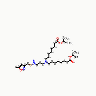 CCCCCCCCC(CC)OC(=O)CCCCCCCN(CCCCCCCC(=O)OC(CCCCCCCC)CCCCCCCC)CCCNSCc1cc(C)on1